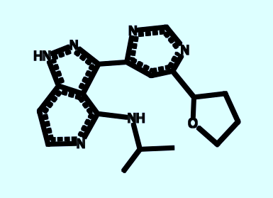 CC(C)Nc1nccc2[nH]nc(-c3cc(C4CCCO4)ncn3)c12